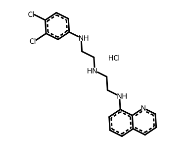 Cl.Clc1ccc(NCCNCCNc2cccc3cccnc23)cc1Cl